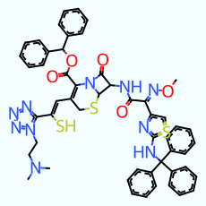 CON=C(C(=O)NC1C(=O)N2C(C(=O)OC(c3ccccc3)c3ccccc3)=C(C=C(S)c3nnnn3CCN(C)C)CSC12)c1csc(NC(c2ccccc2)(c2ccccc2)c2ccccc2)n1